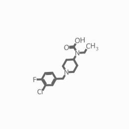 CCN(C(=O)O)C1CCN(Cc2ccc(F)c(Cl)c2)CC1